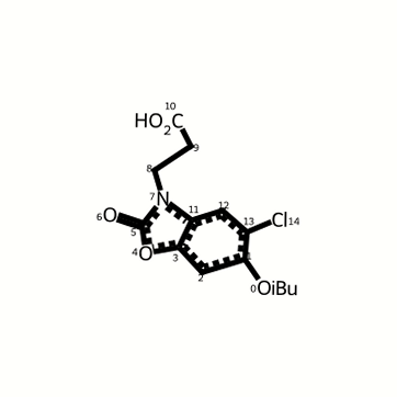 CC(C)COc1cc2oc(=O)n(CCC(=O)O)c2cc1Cl